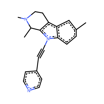 Cc1ccc2c(c1)c1c(n2C#Cc2ccncc2)C(C)N(C)CC1